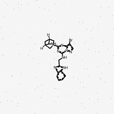 NC1[C@@H]2C[C@H]1CN(c1nc(NCc3nc4ccccc4[nH]3)n3ncc(Br)c3n1)C2